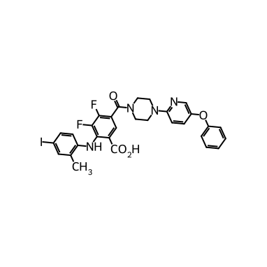 Cc1cc(I)ccc1Nc1c(C(=O)O)cc(C(=O)N2CCN(c3ccc(Oc4ccccc4)cn3)CC2)c(F)c1F